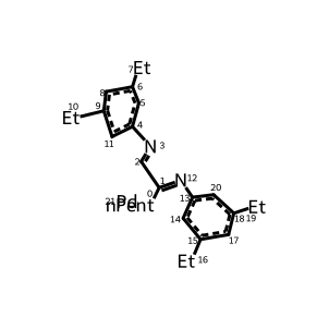 CCCCCC(C=Nc1cc(CC)cc(CC)c1)=Nc1cc(CC)cc(CC)c1.[Pd]